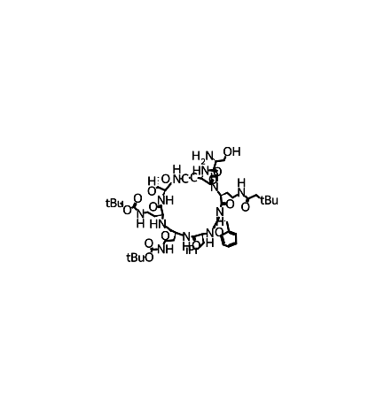 CC(C)C[C@@H]1NC(=O)[C@@H](Cc2ccccc2)NC(=O)[C@H](CCNC(=O)CC(C)(C)C)NC(=O)[C@@H](NC(=O)[C@H](N)CO)CCNC(=O)[C@H]([C@@H](C)O)NC(=O)[C@H](CCNC(=O)OC(C)(C)C)NC(=O)[C@H](CCNC(=O)OC(C)(C)C)NC1=O